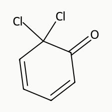 O=C1C=CC=CC1(Cl)Cl